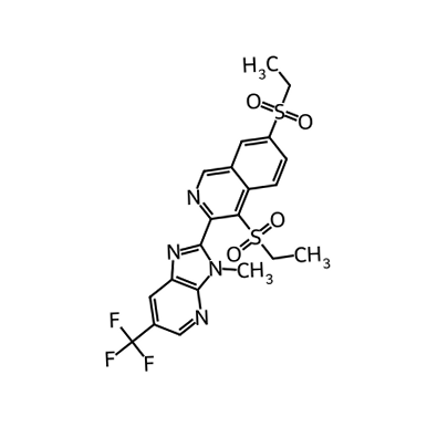 CCS(=O)(=O)c1ccc2c(S(=O)(=O)CC)c(-c3nc4cc(C(F)(F)F)cnc4n3C)ncc2c1